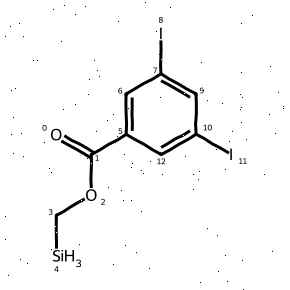 O=C(OC[SiH3])c1cc(I)cc(I)c1